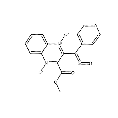 COC(=O)c1c(C(=S=O)c2ccncc2)[n+]([O-])c2ccccc2[n+]1[O-]